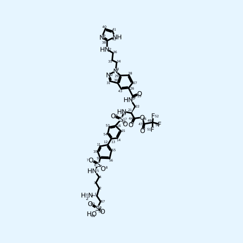 N[C@H](CCCNS(=O)(=O)c1ccc(-c2ccc(S(=O)(=O)N[C@@H](CNC(=O)c3ccc4c(cnn4CCCNc4ncc[nH]4)c3)C(=O)OC(=O)C(F)(F)F)cc2)cc1)CS(=O)(=O)O